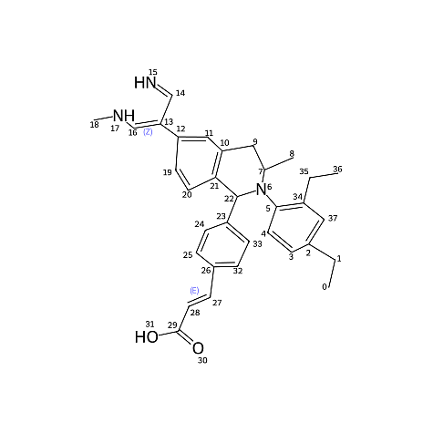 CCc1ccc(N2C(C)Cc3cc(/C(C=N)=C/NC)ccc3C2c2ccc(/C=C/C(=O)O)cc2)c(CC)c1